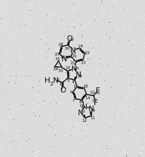 NC(=O)c1c(-c2ccc(-n3nccn3)c(C(F)F)c2)nn(-c2cccn3c(=O)ccnc23)c1C1CC1